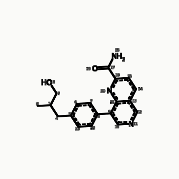 CC(CO)Cc1ccc(-c2cncc3ccc(C(N)=O)nc23)cc1